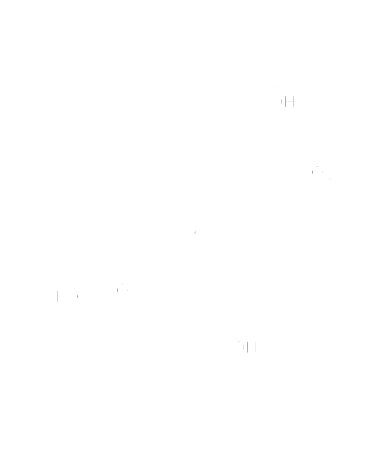 COCc1cc(CC(=O)O)ccc1O